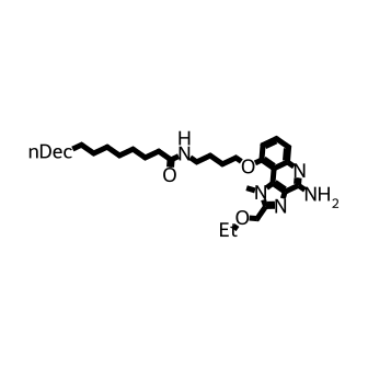 CCCCCCCCCCCCCCCCCC(=O)NCCCCOc1cccc2nc(N)c3nc(COCC)n(C)c3c12